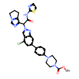 CC(C)(C)OC(=O)N1CCN(c2ccc(-c3cc(Cl)c4cn(C(C(=O)Nc5nccs5)c5ncn6c5CCC6)nc4c3)cc2)CC1